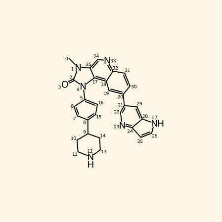 Cn1c(=O)n(-c2ccc(C3CCNCC3)cc2)c2c3cc(-c4cnc5cc[nH]c5c4)ccc3ncc21